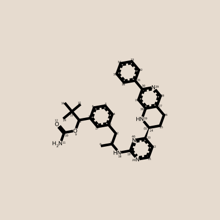 CC(Cc1cccc(C(OC(N)=O)C(C)(C)C)c1)Nc1nccc([C@@H]2CCc3cnc(-c4ccccc4)cc3N2)n1